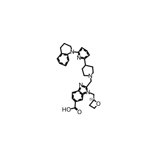 O=C(O)c1ccc2nc(CN3CCC(c4cccc(N5CCCc6ccccc65)n4)CC3)n(C[C@@H]3CCO3)c2c1